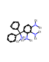 CCN(CC)c1ccc(C(c2ccccc2)(c2ccccc2)N(CC)CC)c(N(CC)CC)c1N(CC)CC